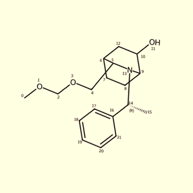 COCOCC1C2CCC(C(O)C2)N1[C@H](C)c1ccccc1